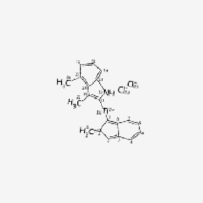 C=C1C=c2ccccc2=[C]1[Ti+2][c]1[nH]c2cccc(C)c2c1C.[Cl-].[Cl-]